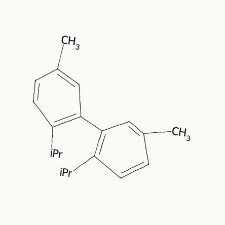 Cc1ccc(C(C)C)c(-c2cc(C)ccc2C(C)C)c1